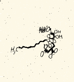 CCCCCCCCCCCCOC1O[C@H](CO)[C@@H](O)[C@H](O)[C@H]1OC(=O)CC(O)(CC(=O)[O-])C(=O)[O-].[Na+].[Na+]